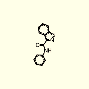 O=C(Nc1ccccc1)c1nsc2ccccc12